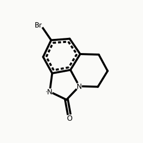 O=C1[N]c2cc(Br)cc3c2N1CCC3